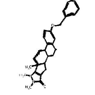 Cn1c2c(c(=O)n1C)CC1C3CCc4cc(OCc5ccccc5)ccc4C3CCC21C